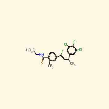 O=C(O)CNC(=S)c1ccc(C(F)=CC(c2cc(Cl)c(Cl)c(Cl)c2)C(F)(F)F)cc1C(F)(F)F